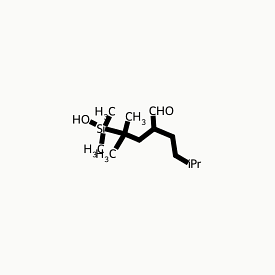 CC(C)CCC(C=O)CC(C)(C)[Si](C)(C)O